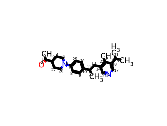 CC(=O)C1CCN(c2ccc(C(C)Cc3cncc(C(C)C)c3C)cc2)CC1